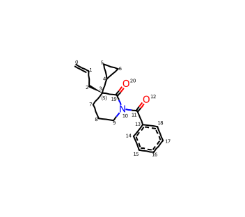 C=CC[C@]1(C2CC2)CCCN(C(=O)c2ccccc2)C1=O